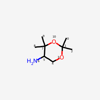 CC1(C)OCC(N)C(C)(C)O1